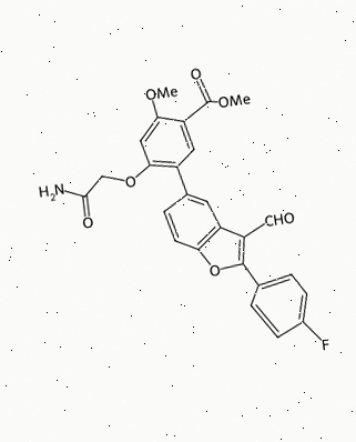 COC(=O)c1cc(-c2ccc3oc(-c4ccc(F)cc4)c(C=O)c3c2)c(OCC(N)=O)cc1OC